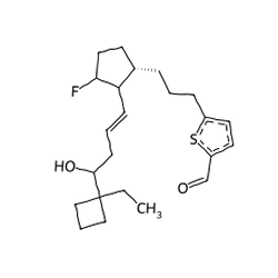 CCC1(C(O)C/C=C/C2C(F)CC[C@@H]2CCCc2ccc(C=O)s2)CCC1